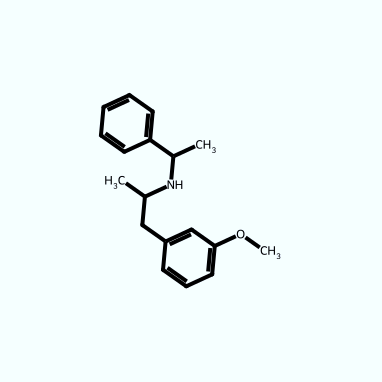 COc1cccc(CC(C)NC(C)c2ccccc2)c1